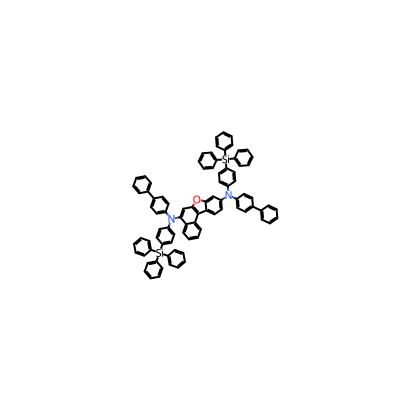 c1ccc(-c2ccc(N(c3ccc([Si](c4ccccc4)(c4ccccc4)c4ccccc4)cc3)c3ccc4c(c3)oc3cc(N(c5ccc(-c6ccccc6)cc5)c5ccc([Si](c6ccccc6)(c6ccccc6)c6ccccc6)cc5)c5ccccc5c34)cc2)cc1